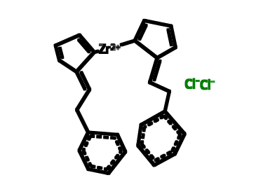 C1=CC(=CCc2ccccc2)[C]([Zr+2][C]2=CC=CC2=CCc2ccccc2)=C1.[Cl-].[Cl-]